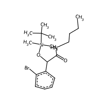 CCCCNC(=O)C(O[Si](C)(C)C(C)(C)C)c1ccccc1Br